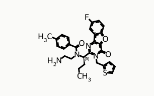 CCC[C@H](c1nc2c(oc3ccc(F)cc32)c(=O)n1Cc1cccs1)N(CCN)C(=O)c1ccc(C)cc1